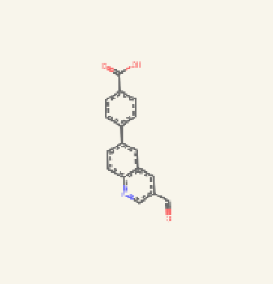 O=Cc1cnc2ccc(-c3ccc(C(=O)O)cc3)cc2c1